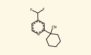 N#CC1(c2cc(C(F)F)ccn2)CCCCC1